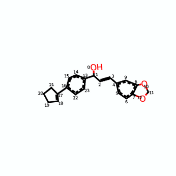 OC(/C=C/c1ccc2c(c1)OCO2)c1ccc(C2=CCCC2)cc1